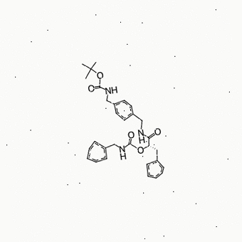 CC(C)(C)OC(=O)NCc1ccc(CNC(=O)[C@H](Cc2ccccc2)OC(=O)NCc2ccccc2)cc1